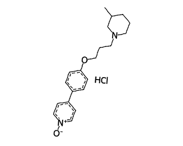 CC1CCCN(CCCOc2ccc(-c3cc[n+]([O-])cc3)cc2)C1.Cl